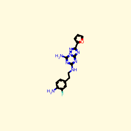 Nc1ccc(CCNc2nc(N)n3nc(-c4ccco4)nc3n2)cc1F